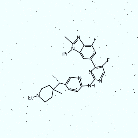 CCN1CCC(C)([C@H](C)c2ccc(Nc3ncc(F)c(-c4cc(F)c5nc(C)n(C(C)C)c5c4)n3)nc2)CC1